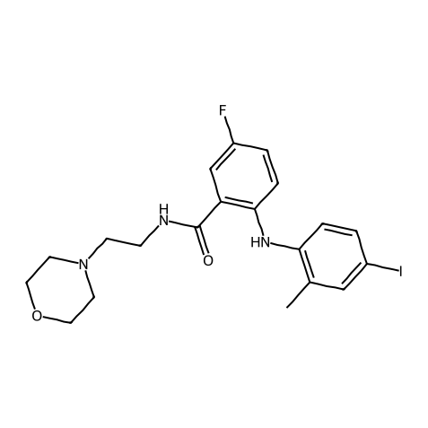 Cc1cc(I)ccc1Nc1ccc(F)cc1C(=O)NCCN1CCOCC1